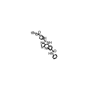 CC(C)(C)OC(=O)N1CC2CC1CC2Nc1ncnc(N)c1C(=N)c1ccc(C(=O)Nc2ccccc2)cc1